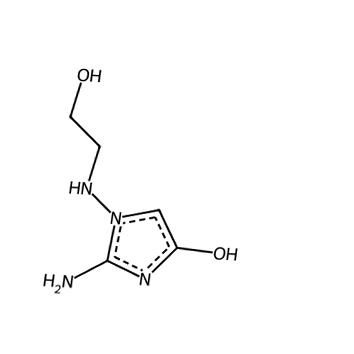 Nc1nc(O)cn1NCCO